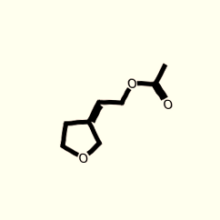 CC(=O)OCC=C1CCOC1